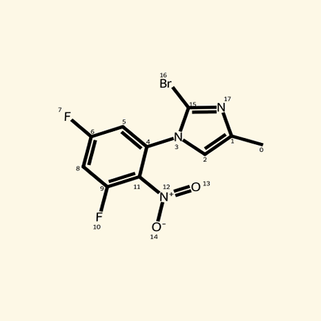 Cc1cn(-c2cc(F)cc(F)c2[N+](=O)[O-])c(Br)n1